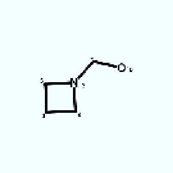 [O]CN1CCC1